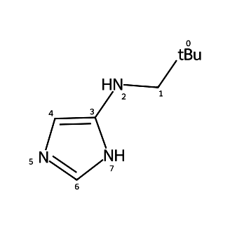 CC(C)(C)CNc1cnc[nH]1